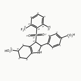 O=C(O)c1ccc(C2NC3=C(CC(C(=O)O)CC3)C2S(=O)(=O)c2c(Cl)cccc2C(F)(F)F)cc1